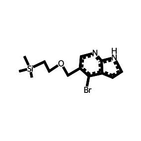 C[Si](C)(C)CCOCc1cnc2[nH]ccc2c1Br